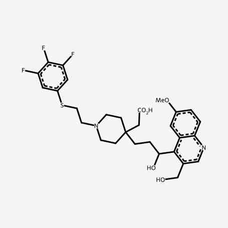 COc1ccc2ncc(CO)c(C(O)CCC3(CC(=O)O)CCN(CCSc4cc(F)c(F)c(F)c4)CC3)c2c1